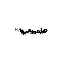 CC[N+]([O-])(C(=O)c1cccc(OCCOS(=O)(=O)c2ccc(C)cc2)c1)N1CCN(c2ccc(NC(=O)c3ccc4ccccc4c3)cc2)CC1